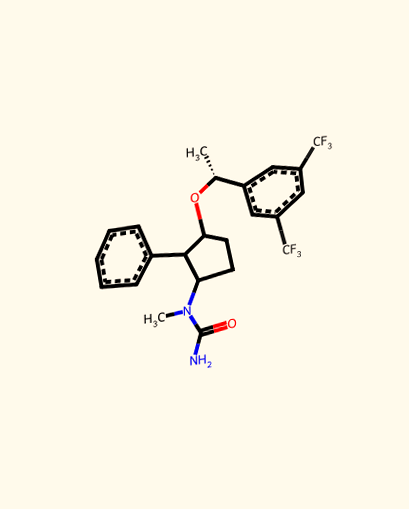 C[C@@H](OC1CCC(N(C)C(N)=O)C1c1ccccc1)c1cc(C(F)(F)F)cc(C(F)(F)F)c1